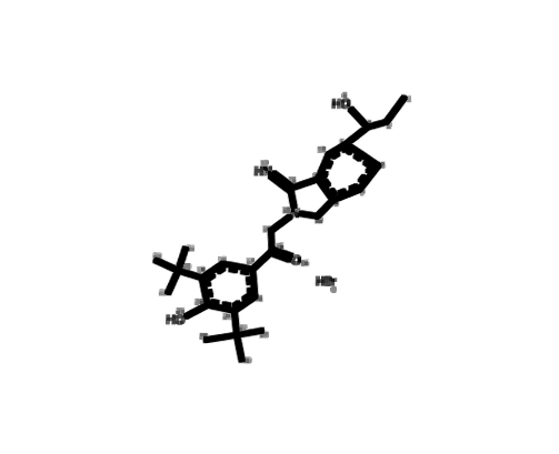 Br.CCC(O)c1ccc2c(c1)C(=N)N(CC(=O)c1cc(C(C)(C)C)c(O)c(C(C)(C)C)c1)C2